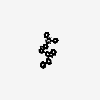 c1ccc(-c2cccc(-c3cc(-c4cccc5oc6cc(-c7nc(-c8ccccc8)nc(-c8ccccc8)n7)ccc6c45)cc4c3sc3ccccc34)c2)cc1